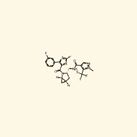 Cc1nc(C(=O)N2[C@H](CNC(=O)c3cnn(C)c3C(F)(F)F)C[C@@H]3C[C@@H]32)c(-c2cccc(F)c2)s1